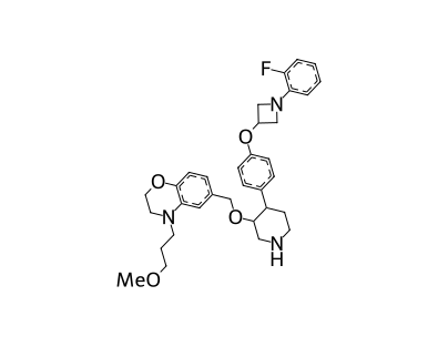 COCCCN1CCOc2ccc(COC3CNCCC3c3ccc(OC4CN(c5ccccc5F)C4)cc3)cc21